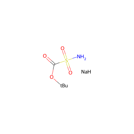 CC(C)(C)OC(=O)S(N)(=O)=O.[NaH]